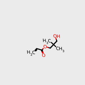 C=CC(=O)OCC(C)(C)CO